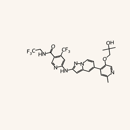 Cc1cc(-c2ccn3nc(Nc4cc(C(F)(F)F)c(C(=O)NCC(F)(F)F)cn4)cc3c2)c(OCC(C)(C)O)cn1